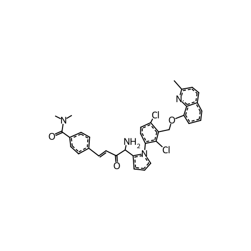 Cc1ccc2cccc(OCc3c(Cl)ccc(-n4cccc4C(N)C(=O)/C=C/c4ccc(C(=O)N(C)C)cc4)c3Cl)c2n1